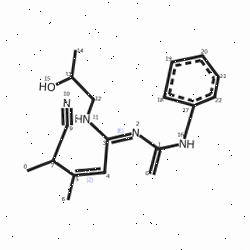 C=C(/N=C(\C=C(\C)C(C)C#N)NCC(C)O)Nc1ccccc1